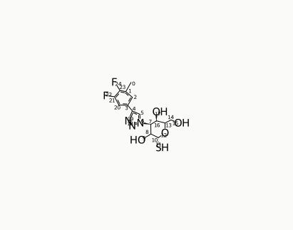 Cc1cc(-c2cn([C@@H]3C(O)[C@@H](S)OC(CO)[C@@H]3O)nn2)cc(F)c1F